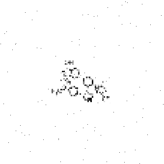 Cc1nc(C(F)(F)F)cn1-c1ccc(-c2ccc(CO)c(S(C)(=O)=O)c2)cc1-n1nncc1-c1ccc(OC(F)(F)F)cc1